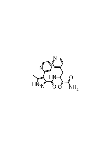 Cc1[nH]nc(C(=O)NC(Cc2ccncc2)C(=O)C(N)=O)c1-c1ccccn1